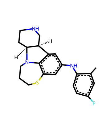 Cc1cc(F)ccc1Nc1cc2c3c(c1)[C@@H]1CNCC[C@@H]1N3CCCS2